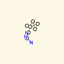 N#Cc1ccnc(-c2ccc(-c3cc4c(c5ccccc35)-c3ccccc3C43c4ccccc4-c4ccccc43)cn2)c1